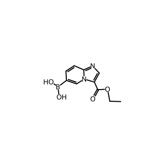 CCOC(=O)c1cnc2ccc(B(O)O)cn12